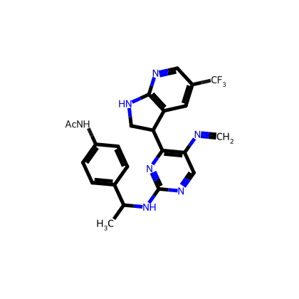 C=Nc1cnc(NC(C)c2ccc(NC(C)=O)cc2)nc1C1CNc2ncc(C(F)(F)F)cc21